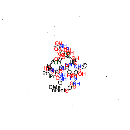 CCCCCOc1ccc(S(=O)(=O)NCCNCc2c(O)cc3c(c2O)-c2cc(ccc2O)[C@H]2CC(=O)[C@H]4Cc5cc(c(O[C@@H]6O[C@H](CO)[C@@H](O)[C@H](O)[C@H]6O[C@H]6C[C@](C)(N)[C@H](O)[C@H](C)O6)c(c5)Oc5ccc(cc5Cl)[C@@H](O)C[C@H](NC2=O)C(=O)N[C@@H]3C(=O)CC2C3CC5CC(C3)CC2C5)Oc2ccc(cc2Cl)[C@@H](O)[C@@H](NC(=O)[C@H](CC)CC(C)C)C(=O)C[C@@H](CC(=O)NC(=O)Nc2ccc(OC)cc2)C(=O)N4)cc1